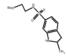 COCCNS(=O)(=O)c1ccc2c(c1)NC(C)C2